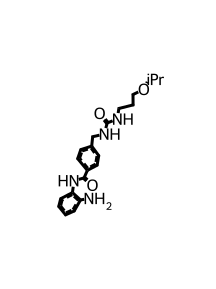 CC(C)OCCCNC(=O)NCc1ccc(C(=O)Nc2ccccc2N)cc1